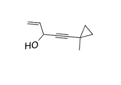 C=CC(O)C#CC1(C)CC1